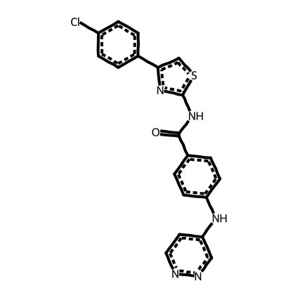 O=C(Nc1nc(-c2ccc(Cl)cc2)cs1)c1ccc(Nc2ccnnc2)cc1